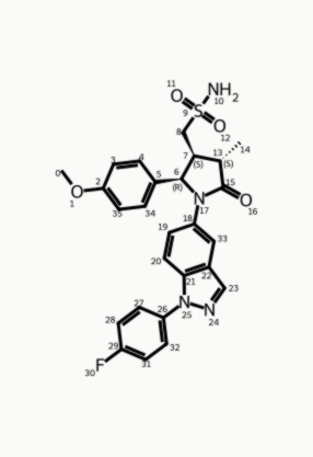 COc1ccc([C@H]2[C@@H](CS(N)(=O)=O)[C@H](C)C(=O)N2c2ccc3c(cnn3-c3ccc(F)cc3)c2)cc1